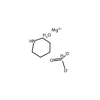 C1CCNCC1.O.O=[PH]([O-])[O-].[Mg+2]